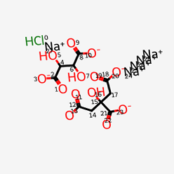 Cl.O=C([O-])C(O)C(O)C(=O)[O-].O=C([O-])CC(O)(CC(=O)[O-])C(=O)[O-].[Na+].[Na+].[Na+].[Na+].[Na+]